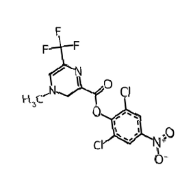 CN1C=C(C(F)(F)F)N=C(C(=O)Oc2c(Cl)cc([N+](=O)[O-])cc2Cl)C1